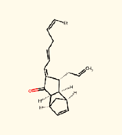 C=CC[C@H]1/C(=C\C=C\C/C=C\CC)C(=O)[C@H]2[C@@H]1[C@H]1C=C[C@@H]2C1